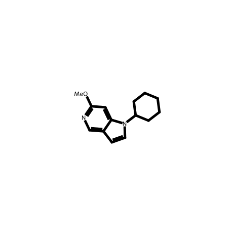 COc1cc2c(ccn2C2CCCCC2)cn1